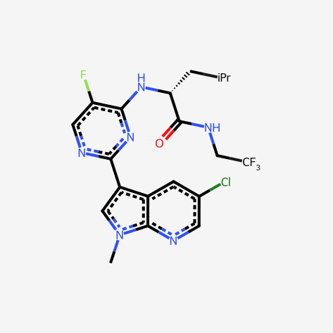 CC(C)C[C@@H](Nc1nc(-c2cn(C)c3ncc(Cl)cc23)ncc1F)C(=O)NCC(F)(F)F